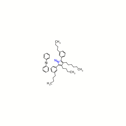 CCCCCCC1=C(c2cccc(CCCC)c2)[N+](=[N-])C(c2cccc(CCCC)c2)=C1CCCC.c1cc[c]([Ni][c]2ccccc2)cc1